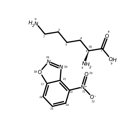 NCCCC[C@H](N)C(=O)O.O=[N+]([O-])c1cccc2onnc12